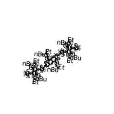 CCCCC(CC)COc1c2cc3cc(-c4ccc(C5=C6C(=O)N(CC(CC)CCCC)C(c7cccs7)=C6C(=O)N5CC(CC)CCCC)s4)sc3c(OCC(CC)CCCC)c2cc2cc(-c3ccc(C4=C5C(=O)N(CC(CC)CCCC)C(c6cccs6)=C5C(=O)N4CC(CC)CCCC)s3)sc12